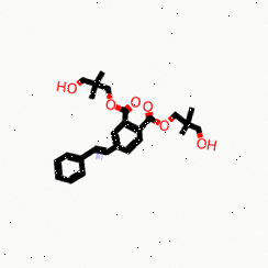 CC(C)(CO)COC(=O)c1ccc(/C=C/c2ccccc2)cc1C(=O)OCC(C)(C)CO